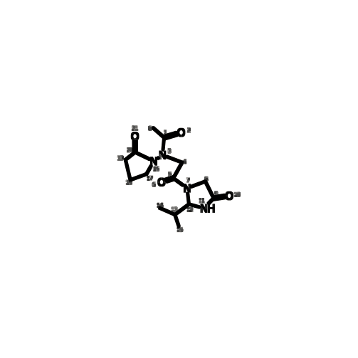 CC(=O)N(CC(=O)N1CC(=O)NC1C(C)C)N1CCCC1=O